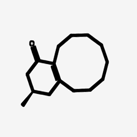 C[C@H]1CC(=O)C2=C(CCCCCCCC2)C1